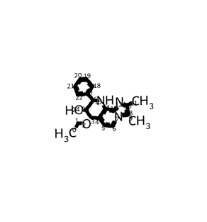 CCOC1c2ccn3c(C)c(C)nc3c2NC(c2ccccc2)C1O